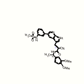 COc1ccc([C@@H](C)NC(=O)/C(C#N)=C/c2c[nH]c3ncc(-c4cccc(NS(C)(=O)=O)c4)cc23)cc1OC